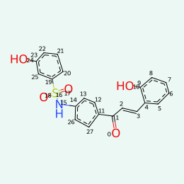 O=C(C=Cc1ccccc1O)c1ccc(NS(=O)(=O)c2cccc(O)c2)cc1